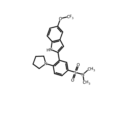 CN(C)S(=O)(=O)c1ccc(N2CCCC2)c(-c2cc3cc(OC(F)(F)F)ccc3[nH]2)c1